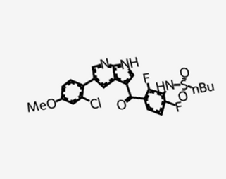 CCCCS(=O)(=O)Nc1c(F)ccc(C(=O)c2c[nH]c3ncc(-c4ccc(OC)cc4Cl)cc23)c1F